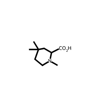 CN1CCC(C)(C)CC1C(=O)O